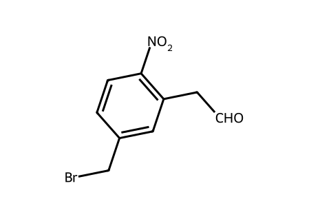 O=CCc1cc(CBr)ccc1[N+](=O)[O-]